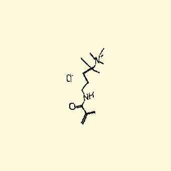 C=C(C)C(=O)NCCCC(C)(C)[N+](C)(C)C.[Cl-]